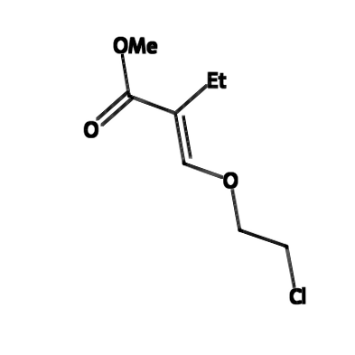 CC/C(=C\OCCCl)C(=O)OC